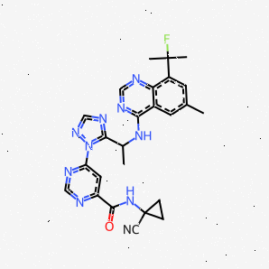 Cc1cc(C(C)(C)F)c2ncnc(NC(C)c3ncnn3-c3cc(C(=O)NC4(C#N)CC4)ncn3)c2c1